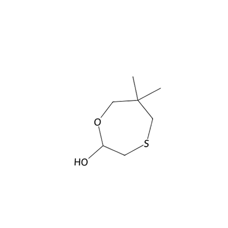 CC1(C)COC(O)CSC1